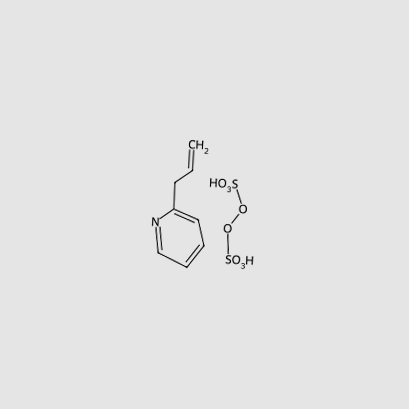 C=CCc1ccccn1.O=S(=O)(O)OOS(=O)(=O)O